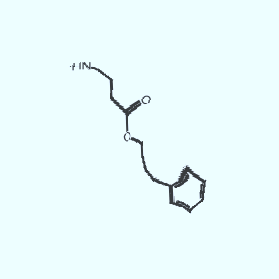 [NH]CCC(=O)OCCc1ccccc1